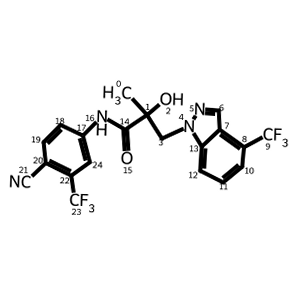 CC(O)(Cn1ncc2c(C(F)(F)F)cccc21)C(=O)Nc1ccc(C#N)c(C(F)(F)F)c1